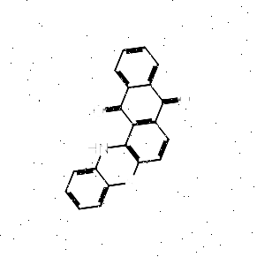 O=c1c2ccccc2c(=O)c2c1ccc1sc3ccccc3[nH]c12